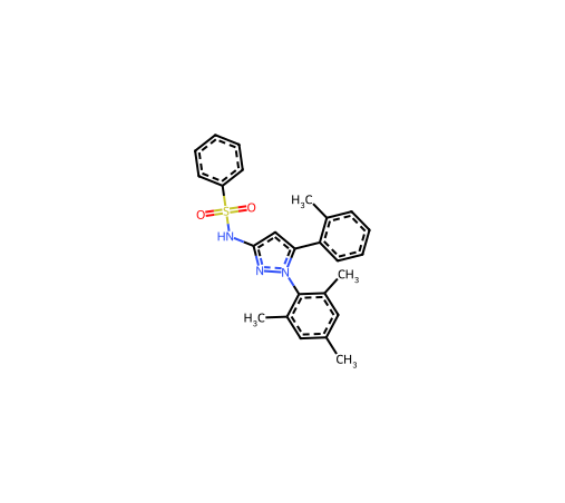 Cc1cc(C)c(-n2nc(NS(=O)(=O)c3ccccc3)cc2-c2ccccc2C)c(C)c1